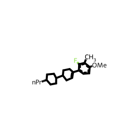 CCCC1CCC(C2CC=C(c3ccc(OC)c(C)c3F)CC2)CC1